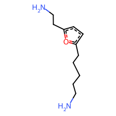 NCCCCCc1ccc(CCN)o1